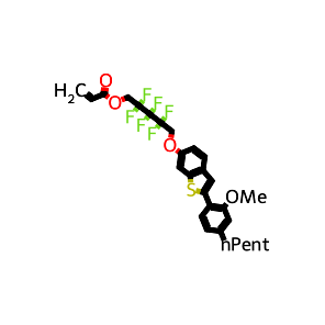 C=CC(=O)OCC(F)(F)C(F)(F)C(F)(F)COc1ccc2cc(-c3ccc(CCCCC)cc3OC)sc2c1